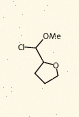 COC(Cl)C1CCCO1